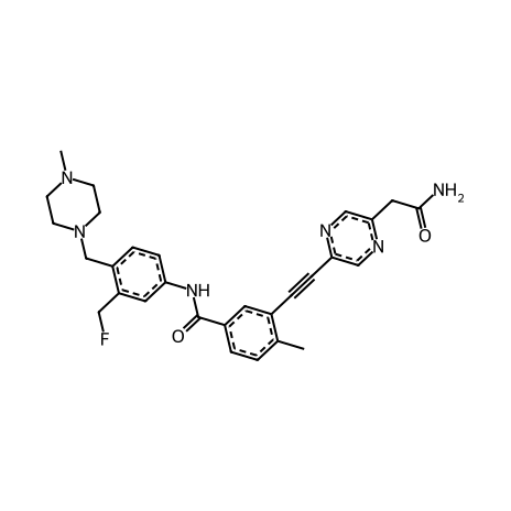 Cc1ccc(C(=O)Nc2ccc(CN3CCN(C)CC3)c(CF)c2)cc1C#Cc1cnc(CC(N)=O)cn1